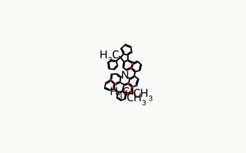 CC(C)(C)c1ccc(-c2ccccc2)c(N(c2ccc3c(c2)C(C)(c2ccccc2)c2ccccc2-3)c2ccccc2-c2cccc3cccc(-c4ccccc4)c23)c1